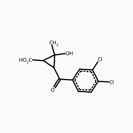 CC1(O)C(C(=O)O)C1C(=O)c1ccc(Cl)c(Cl)c1